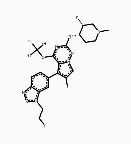 [2H]C([2H])([2H])Oc1nc(N[C@H]2CCN(C)C[C@H]2F)nn2cc(F)c(-c3ccc4nnn(CCF)c4c3)c12